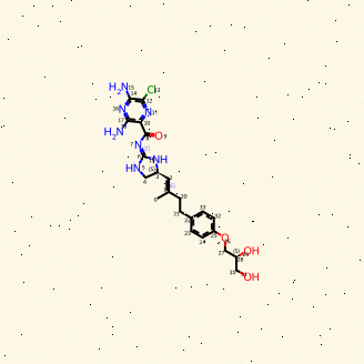 C/C(=C\[C@H]1CN/C(=N/C(=O)c2nc(Cl)c(N)nc2N)N1)CCc1ccc(OC[C@@H](O)CO)cc1